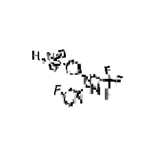 NS(=O)(=O)c1ccc(-n2cc(C(F)(F)F)nc2-c2cc(F)ccn2)cc1